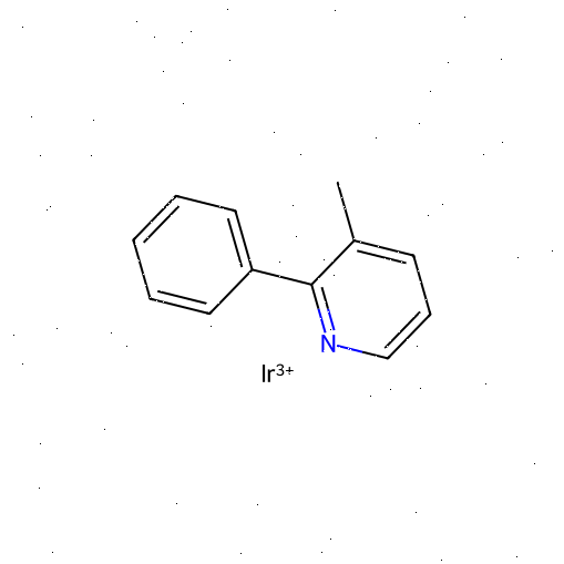 Cc1cccnc1-c1ccccc1.[Ir+3]